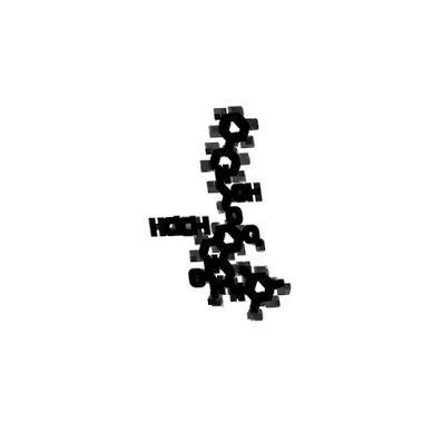 COc1cc2c(cc1OCC(O)CN1CCC(c3ccccc3)CC1)CCn1c-2cc(=Nc2c(C)cc(C)cc2C)n(C)c1=O.Cl.Cl